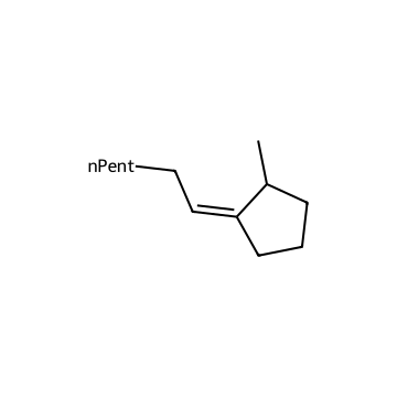 CCCCCCC=C1CCCC1C